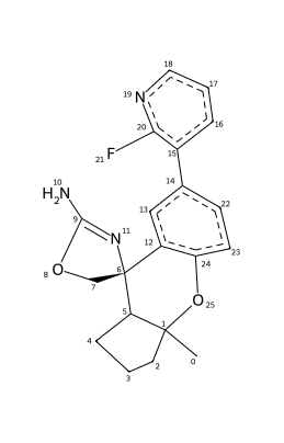 CC12CCCC1[C@@]1(COC(N)=N1)c1cc(-c3cccnc3F)ccc1O2